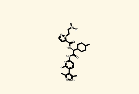 Cc1n[nH]c(C)c1-c1ccc(NC(=O)[C@@H](NC(=O)c2ccnn2CC[S+](C)[O-])C2CCC(C)CC2)nc1F